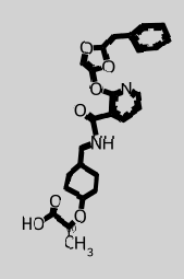 C[C@@H](OC1CCC(CNC(=O)c2cccnc2OC2=COC(Cc3ccccc3)O2)CC1)C(=O)O